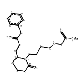 COC(=O)COCCCCN1C(=O)CCCC1CCC(=O)Cc1ccccc1